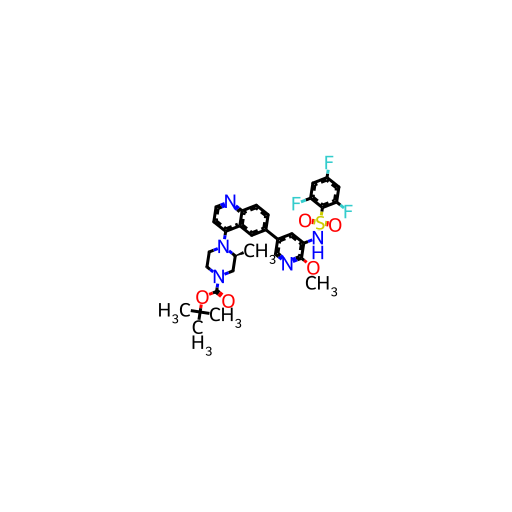 COc1ncc(-c2ccc3nccc(N4CCN(C(=O)OC(C)(C)C)C[C@@H]4C)c3c2)cc1NS(=O)(=O)c1c(F)cc(F)cc1F